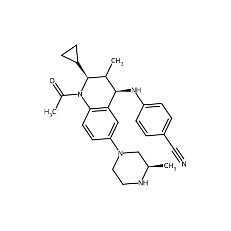 CC(=O)N1c2ccc(N3CCN[C@H](C)C3)cc2[C@H](Nc2ccc(C#N)cc2)C(C)[C@@H]1C1CC1